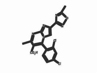 Cc1nc(-c2cn3c(-c4ccc(Cl)cc4Cl)c(C(=O)O)c(C)nc3n2)no1